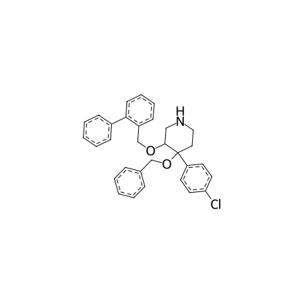 Clc1ccc(C2(OCc3ccccc3)CCNCC2OCc2ccccc2-c2ccccc2)cc1